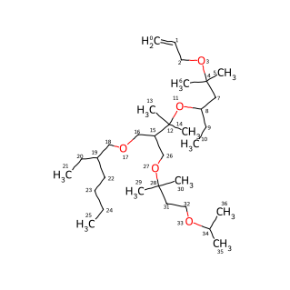 C=CCOC(C)(C)CC(CC)OC(C)(C)C(COCC(CC)CCCC)COC(C)(C)CCOC(C)C